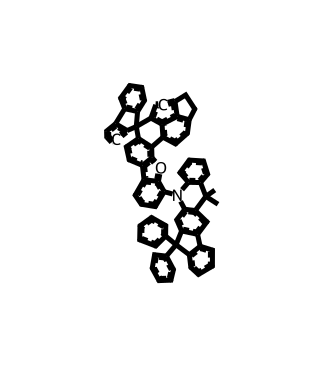 CC1(C)c2ccccc2N(c2cccc3c2oc2c4c(ccc23)C2(c3ccccc3-c3ccccc32)c2ccc3c5c(ccc-4c25)CC3)c2cc3c(cc21)-c1ccccc1C3(c1ccccc1)c1ccccc1